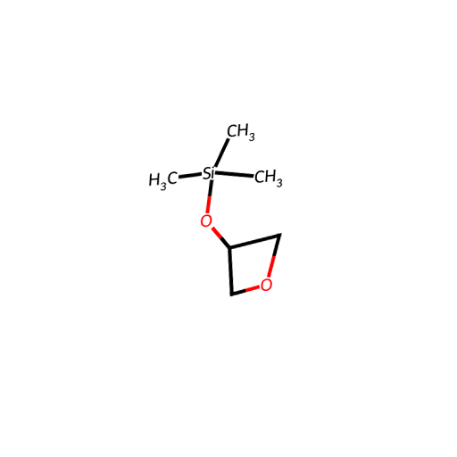 C[Si](C)(C)OC1COC1